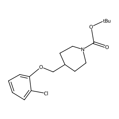 CC(C)(C)OC(=O)N1CCC(COc2ccccc2Cl)CC1